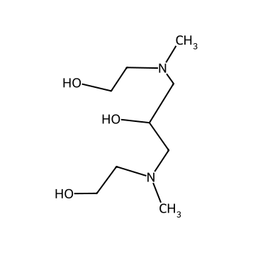 CN(CCO)CC(O)CN(C)CCO